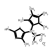 CCCC1=CC(C)=[C]([Zr+2]([C]2=C(C)C(C)=C(C)C2C)[SiH](C)C)C1.[Cl-].[Cl-]